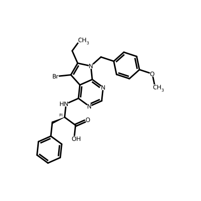 CCc1c(Br)c2c(N[C@H](Cc3ccccc3)C(=O)O)ncnc2n1Cc1ccc(OC)cc1